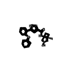 N#CN1C[C@H]2CC[C@@]2(NC(=O)c2cc(-c3ccccc3Oc3ccccc3)[nH]n2)C1